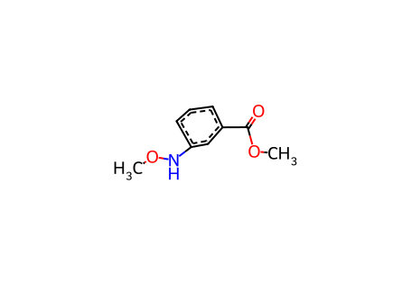 CONc1cccc(C(=O)OC)c1